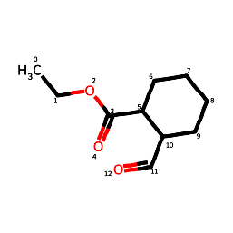 CCOC(=O)C1CCCCC1C=O